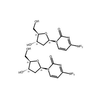 Nc1ccn([C@H]2C[C@H](O)[C@@H](CO)O2)c(=O)n1.Nc1ccn([C@H]2C[C@H](O)[C@@H](CO)O2)c(=O)n1